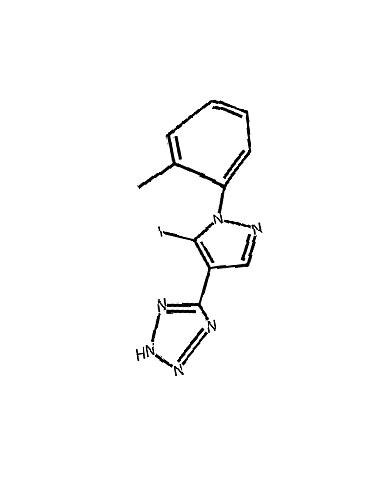 Cc1ccccc1-n1ncc(-c2nn[nH]n2)c1I